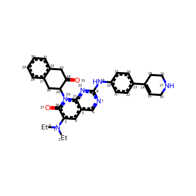 CCN(CC)c1cc2cnc(Nc3ccc(C4=CCNCC4)cc3)nc2n(C2Cc3ccccc3CC2=O)c1=O